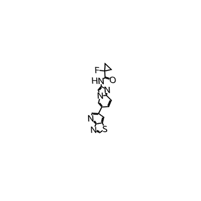 O=C(Nc1cn2cc(-c3cnc4ncsc4c3)ccc2n1)C1(F)CC1